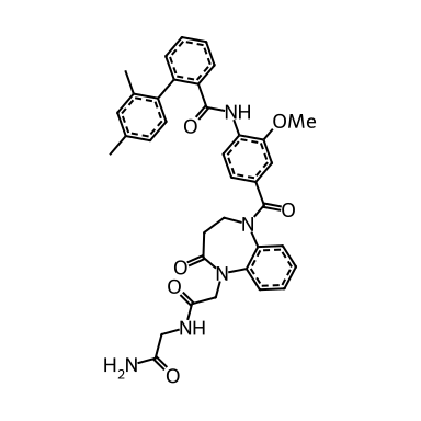 COc1cc(C(=O)N2CCC(=O)N(CC(=O)NCC(N)=O)c3ccccc32)ccc1NC(=O)c1ccccc1-c1ccc(C)cc1C